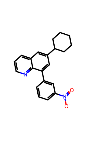 O=[N+]([O-])c1cccc(-c2cc(C3CCCCC3)cc3cccnc23)c1